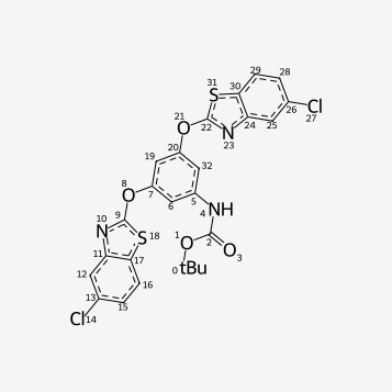 CC(C)(C)OC(=O)Nc1cc(Oc2nc3cc(Cl)ccc3s2)cc(Oc2nc3cc(Cl)ccc3s2)c1